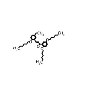 CCCCCCOc1ccc(OCCCCCC)c(C(=O)C=Cc2cc(CC)ccc2OCCCCCC)c1